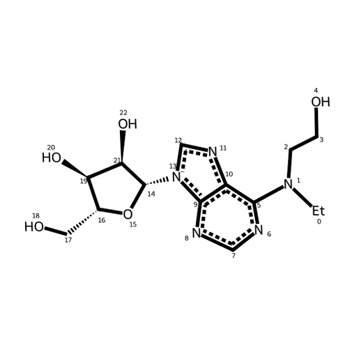 CCN(CCO)c1ncnc2c1ncn2[C@@H]1O[C@H](CO)[C@@H](O)[C@H]1O